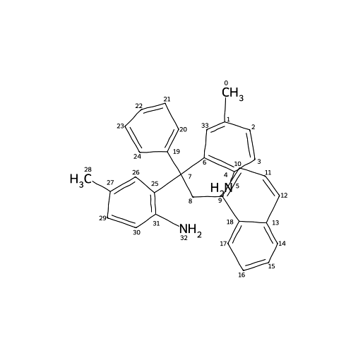 Cc1ccc(N)c(C(Cc2cccc3ccccc23)(c2ccccc2)c2cc(C)ccc2N)c1